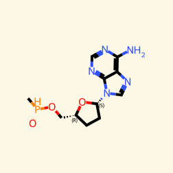 C[PH](=O)OC[C@H]1CC[C@@H](n2cnc3c(N)ncnc32)O1